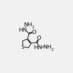 NNC(=O)C1=C(C(=O)NN)CSC1